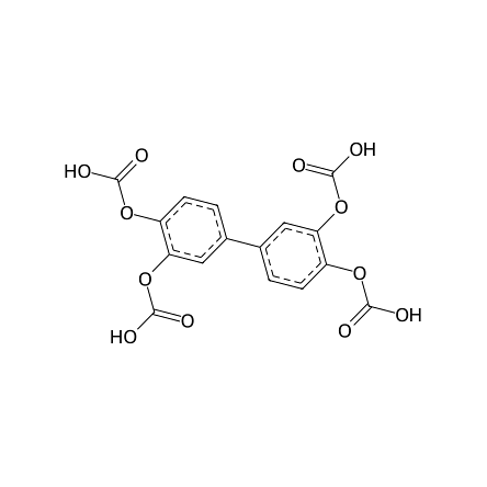 O=C(O)Oc1ccc(-c2ccc(OC(=O)O)c(OC(=O)O)c2)cc1OC(=O)O